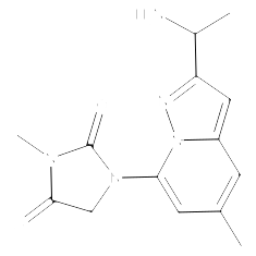 Cc1cc(N2CC(=O)N(C)C2=O)n2nc(C(C)N)cc2c1